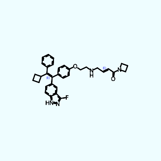 O=C(/C=C/CNCCOc1ccc(/C(=C(\c2ccccc2)C2CCC2)c2ccc3[nH]nc(F)c3c2)cc1)N1CCC1